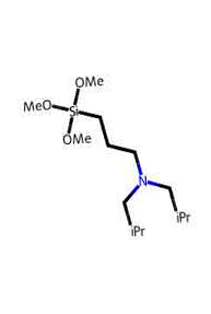 CO[Si](CCCN(CC(C)C)CC(C)C)(OC)OC